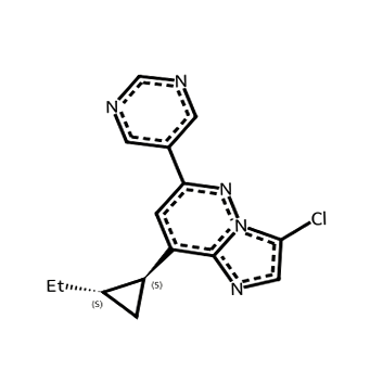 CC[C@H]1C[C@@H]1c1cc(-c2cncnc2)nn2c(Cl)cnc12